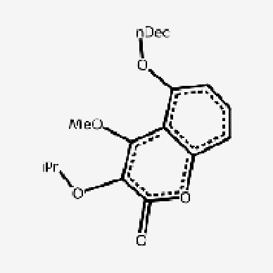 CCCCCCCCCCOc1cccc2oc(=O)c(OC(C)C)c(OC)c12